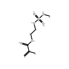 C=C(C)C(=O)OCCOS(=O)(=O)OC